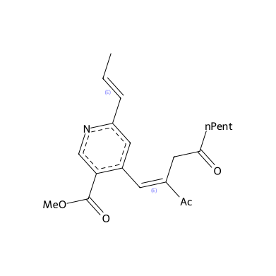 C/C=C/c1cc(/C=C(\CC(=O)CCCCC)C(C)=O)c(C(=O)OC)cn1